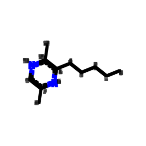 CC[CH]CCc1nc(C)cnc1C